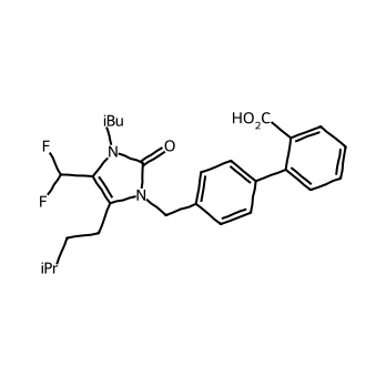 CCC(C)n1c(C(F)F)c(CCC(C)C)n(Cc2ccc(-c3ccccc3C(=O)O)cc2)c1=O